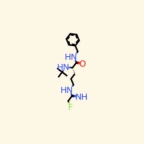 CC(C)(C)N[C@@H](CCCNC(=N)CF)C(=O)NCc1ccccc1